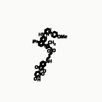 COC1CCN(c2nccc(Nc3cc4c(C(C)C)ccc(N5C[C@H](CS(=O)(=O)CCCCNc6ccc7c(c6)C(=O)N(C6CCC(=O)NC6=O)C7=O)[C@H]5C)c4cn3)n2)CC1